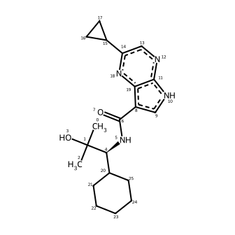 CC(C)(O)[C@@H](NC(=O)c1c[nH]c2ncc(C3CC3)nc12)C1CCCCC1